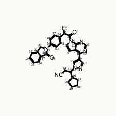 CCC(C(=O)n1ccc2c(-c3cnn(C(CC#N)C4CCCC4)c3)ncnc21)c1ccc(N2Cc3ccccc3C2=O)cc1